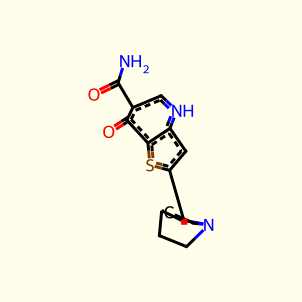 NC(=O)c1c[nH]c2cc(C3CN4CCC3CC4)sc2c1=O